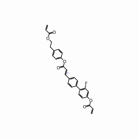 C=CC(=O)OCCc1ccc(OC(=O)/C=C/c2ccc(-c3ccc(OC(=O)C=C)cc3F)cc2)cc1